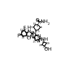 NC(=O)[C@H]1CC[C@@H](n2c(Nc3c(F)cc(F)cc3Cl)nc3cnc(N[C@H]4C[C@H](O)C4)nc32)CC1